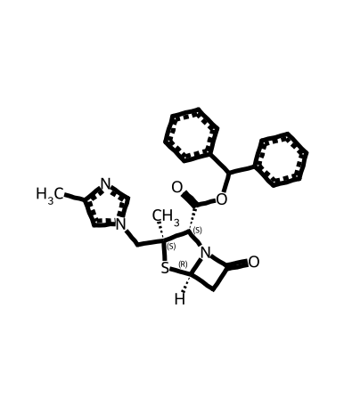 Cc1cn(C[C@]2(C)S[C@@H]3CC(=O)N3[C@H]2C(=O)OC(c2ccccc2)c2ccccc2)cn1